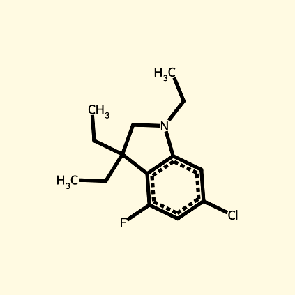 CCN1CC(CC)(CC)c2c(F)cc(Cl)cc21